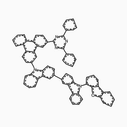 c1ccc(-c2nc(-c3ccccc3)nc(-c3ccc4c5ccccc5c5ccc(-n6c7ccccc7c7cc(-c8ccc9c(c8)c8ccccc8n9-c8cccc9c8oc8ccccc89)ccc76)cc5c4c3)n2)cc1